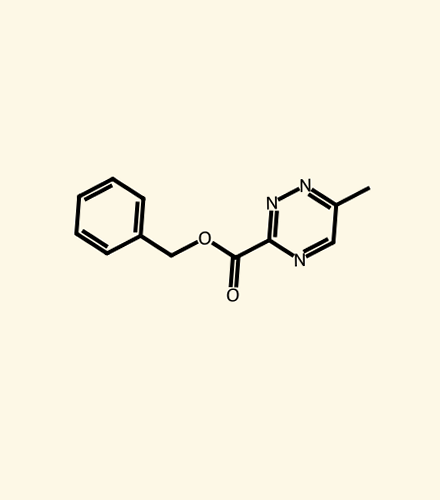 Cc1cnc(C(=O)OCc2ccccc2)nn1